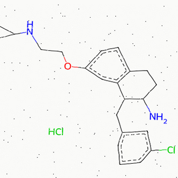 Cl.NC1CCc2ccc(OCCNC3CC3)cc2C1Cc1cccc(Cl)c1